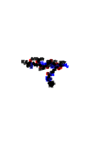 C=C(C)C(=O)NCCCC[C@H](NC(=O)[C@@H](NC(C)=O)C(C)C)C(=O)NC(CC(C)C)C(=O)NC(C)(C)C(=O)N[C@H](C(=O)N[C@@H](CCCCNC(=O)c1nnn(-c2ccccc2)n1)C(=O)N[C@@H](CC(C)C)C(N)=O)C(C)C